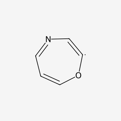 [C]1=CN=CC=CO1